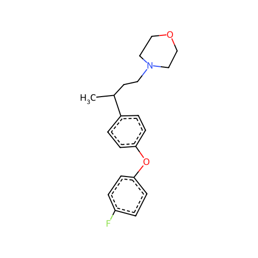 CC(CCN1CCOCC1)c1ccc(Oc2ccc(F)cc2)cc1